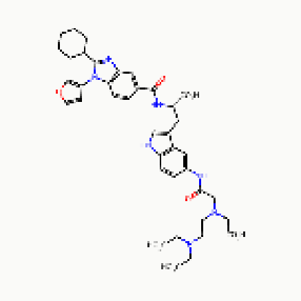 O=C(O)CN(CCN(CC(=O)O)CC(=O)Nc1ccc2[nH]cc(C[C@H](NC(=O)c3ccc4c(c3)nc(C3CCCCC3)n4-c3ccoc3)C(=O)O)c2c1)CC(=O)O